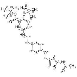 CC(=O)Nc1nc(COc2ccc(CCNC(=O)NN(C(=O)OC(C)(C)C)C(=O)OC(C)(C)C)cc2)cs1